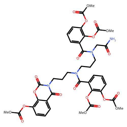 COC(=O)Oc1cccc(C(=O)N(CCCN(CC(N)=O)C(=O)c2cccc(OC(=O)OC)c2OC(=O)OC)CCCn2c(=O)oc3c(OC(=O)OC)cccc3c2=O)c1OC(=O)OC